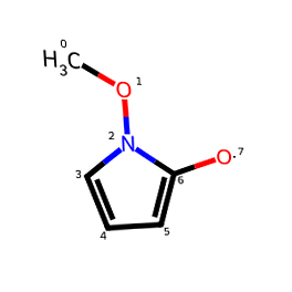 COn1cccc1[O]